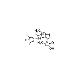 C[C@H]1Cn2ncc(N3C(=O)C(O)C[C@@H]3C)c2CN1C(=O)Nc1cc(F)c(F)c(F)c1